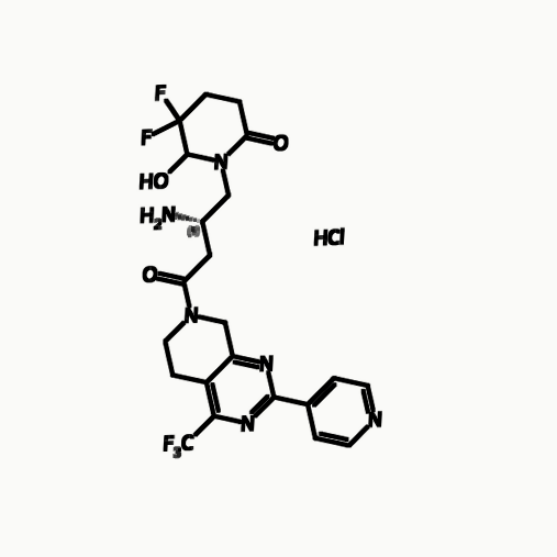 Cl.N[C@@H](CC(=O)N1CCc2c(nc(-c3ccncc3)nc2C(F)(F)F)C1)CN1C(=O)CCC(F)(F)C1O